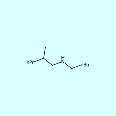 CCCCCNCC(C)CCC